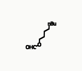 [CH2]CCCCCCCOC=O